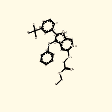 CCOC(=O)COc1cc2c(Sc3ccccc3)c(-c3cccc(C(C)(C)C)c3)[nH]c2cn1